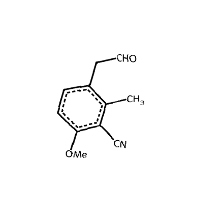 COc1ccc(CC=O)c(C)c1C#N